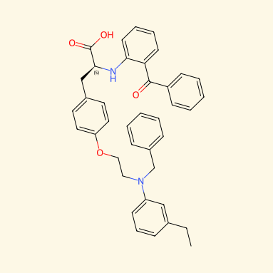 CCc1cccc(N(CCOc2ccc(C[C@H](Nc3ccccc3C(=O)c3ccccc3)C(=O)O)cc2)Cc2ccccc2)c1